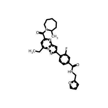 CCc1cc(C(=O)N2CCCCCC2C)nc2cc(-c3ccc(C(=O)NCc4ccco4)cc3F)nn12